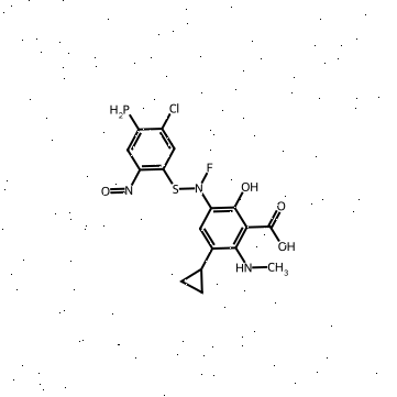 CNc1c(C2CC2)cc(N(F)Sc2cc(Cl)c(P)cc2N=O)c(O)c1C(=O)O